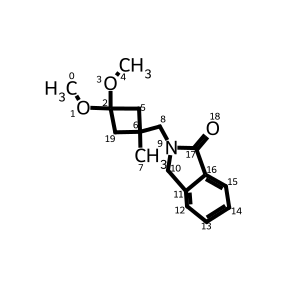 COC1(OC)CC(C)(CN2Cc3ccccc3C2=O)C1